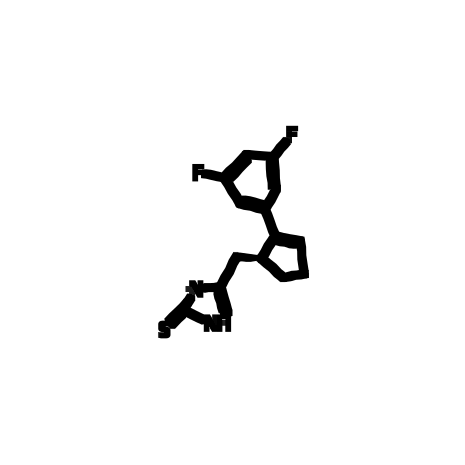 Fc1cc(F)cc(C2=CCC[C@H]2CC2=CNC(=S)[N]2)c1